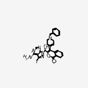 CC(c1oc(=O)c2ccccc2c1C1=CCN(Cc2ccccc2)CC1)n1nc(I)c2c(N)ncnc21